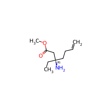 C=CCC[C@](N)(CC)CC(=O)OC